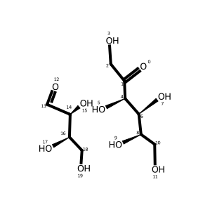 O=C(CO)[C@H](O)[C@@H](O)[C@H](O)CO.O=C[C@@H](O)[C@H](O)CO